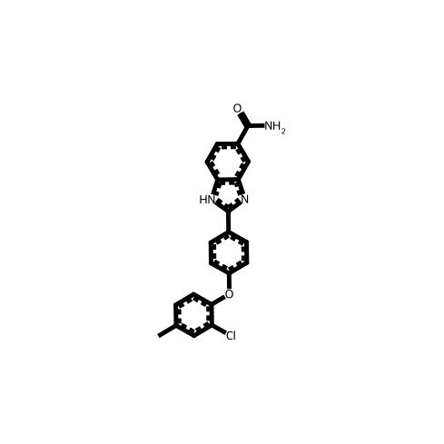 Cc1ccc(Oc2ccc(-c3nc4cc(C(N)=O)ccc4[nH]3)cc2)c(Cl)c1